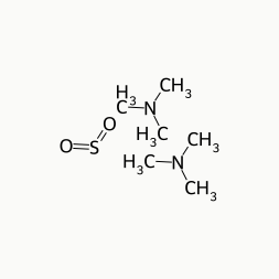 CN(C)C.CN(C)C.O=S=O